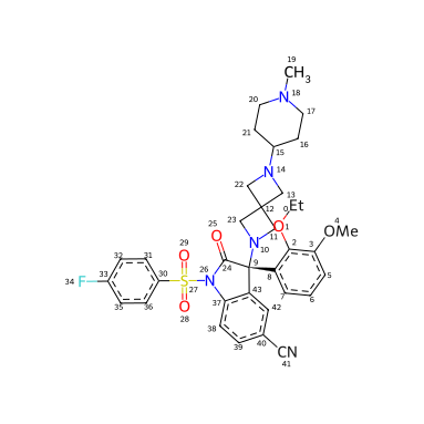 CCOc1c(OC)cccc1[C@]1(N2CC3(CN(C4CCN(C)CC4)C3)C2)C(=O)N(S(=O)(=O)c2ccc(F)cc2)c2ccc(C#N)cc21